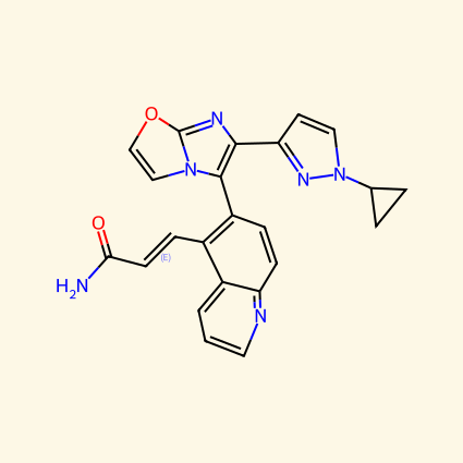 NC(=O)/C=C/c1c(-c2c(-c3ccn(C4CC4)n3)nc3occn23)ccc2ncccc12